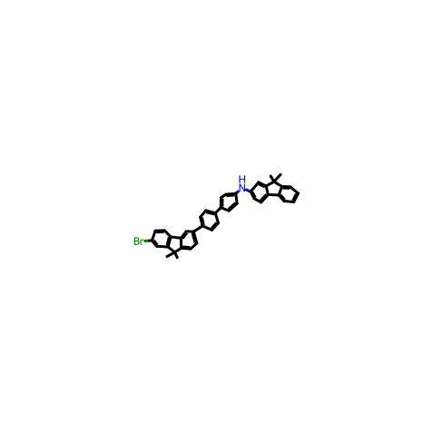 CC1(C)c2ccc(-c3ccc(-c4ccc(Nc5ccc6c(c5)C(C)(C)c5ccccc5-6)cc4)cc3)cc2-c2ccc(Br)cc21